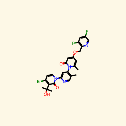 Cc1cnc(-n2ccc(Br)c(C(C)(C)O)c2=O)cc1-n1c(C)cc(OCc2ncc(F)cc2F)cc1=O